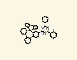 N/C(=N\C(=N/Sc1ccccc1)c1ccc2c(c1)C1(c3ccccc3-c3ccccc3-2)c2ccccc2-c2ccccc21)c1ccccc1